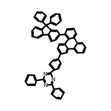 c1ccc(-c2nc(-c3ccccc3)nc(-c3ccc(-c4ccc5c(c4)c4ccccc4c4cccc(-c6ccc7c(c6)C(c6ccccc6)(c6ccccc6)c6ccccc6-7)c45)cc3)n2)cc1